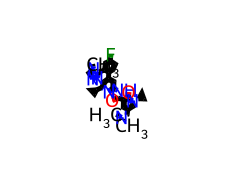 CN(C)Cc1cc(C(=O)Nc2cc(-c3ccc(F)cc3-c3nncn3C)cc(C3CC3)n2)c(=O)n(C2CC2)c1